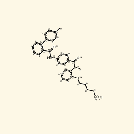 Cc1ccc(-c2ccccc2C(=O)Nc2ccc(C(=O)N(C)c3ccccc3OCCCCC(=O)O)cc2)cc1